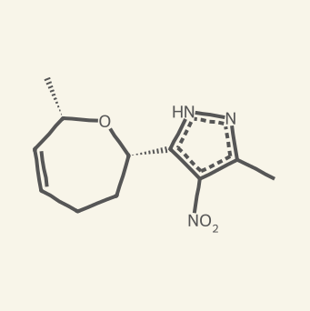 Cc1n[nH]c([C@@H]2CCC=C[C@H](C)O2)c1[N+](=O)[O-]